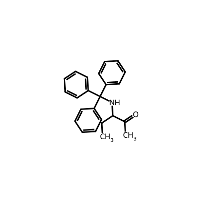 CCC(NC(c1ccccc1)(c1ccccc1)c1ccccc1)C(C)=O